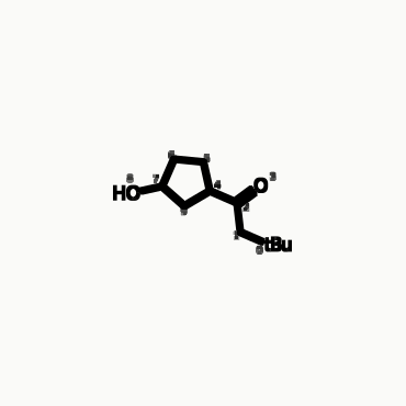 CC(C)(C)CC(=O)C1CCC(O)C1